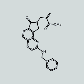 C=C(CN1Cc2c(ccc3ccc(NCc4ccccc4)cc23)C1=O)C(=O)OC